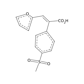 CS(=O)(=O)c1ccc(/C(=C\c2ccco2)C(=O)O)cc1